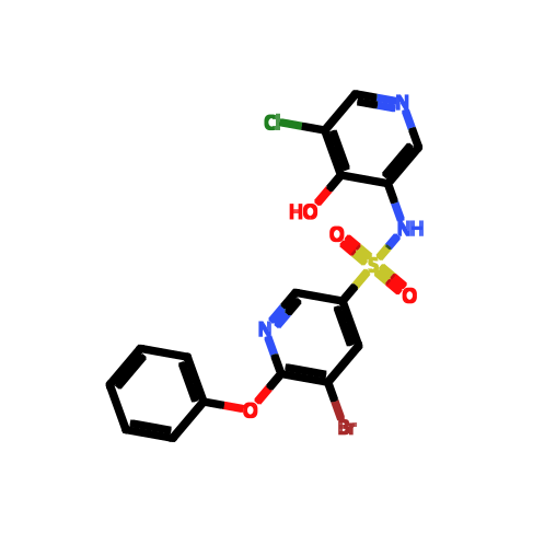 O=S(=O)(Nc1cncc(Cl)c1O)c1cnc(Oc2ccccc2)c(Br)c1